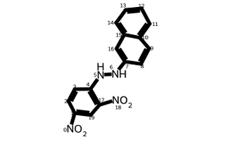 O=[N+]([O-])c1ccc(NNc2ccc3ccccc3c2)c([N+](=O)[O-])c1